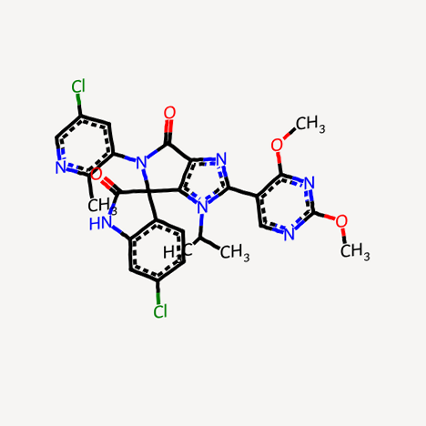 COc1ncc(-c2nc3c(n2C(C)C)C2(C(=O)Nc4cc(Cl)ccc42)N(c2cc(Cl)cnc2C)C3=O)c(OC)n1